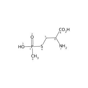 CP(=O)(O)SCC(N)C(=O)O